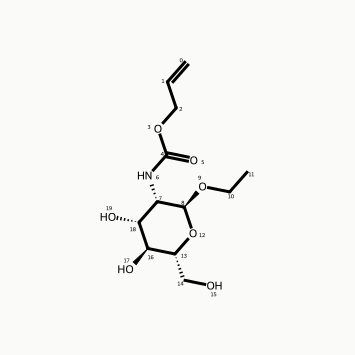 C=CCOC(=O)N[C@@H]1[C@@H](OCC)O[C@H](CO)[C@@H](O)[C@@H]1O